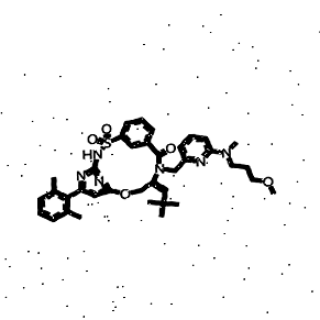 COCCCN(C)c1cccc(CN2C(=O)c3cccc(c3)S(=O)(=O)Nc3nc(cc(-c4c(C)cccc4C)n3)OC/C2=C\C(C)(C)C)n1